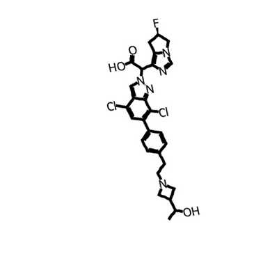 CC(O)C1CN(CCc2ccc(-c3cc(Cl)c4cn(C(C(=O)O)c5ncn6c5C[C@@H](F)C6)nc4c3Cl)cc2)C1